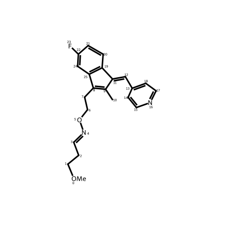 COCCC=NOCCC1=C(C)C(=Cc2ccncc2)c2ccc(F)cc21